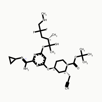 C#CC[C@@H]1C[C@@H](Oc2cc(OC(C)(S)[C@@H](C)CC(F)(F)CNC)nc(/C(N)=N/C3CC3)n2)CCN1C(=O)OC(C)(C)C